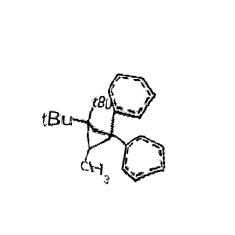 CC1C(c2ccccc2)(c2ccccc2)C1(C(C)(C)C)C(C)(C)C